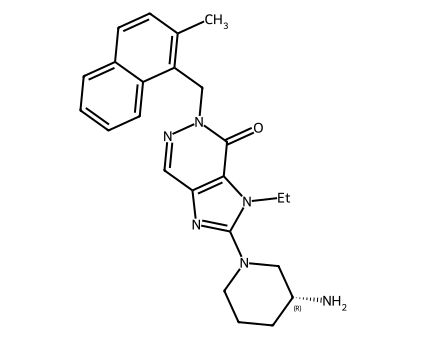 CCn1c(N2CCC[C@@H](N)C2)nc2cnn(Cc3c(C)ccc4ccccc34)c(=O)c21